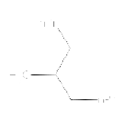 [CH2]CCCC(C)CCCC